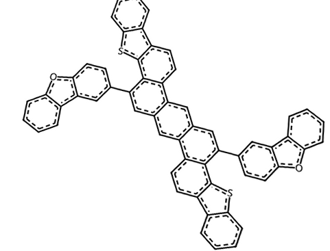 c1ccc2c(c1)oc1ccc(-c3cc4cc5c(cc(-c6ccc7oc8ccccc8c7c6)c6c5ccc5c7ccccc7sc56)cc4c4ccc5c6ccccc6sc5c34)cc12